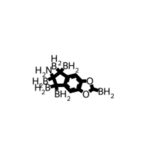 BC1Oc2cc3c(cc2O1)C(B)(B)C(B)(N)C3(B)B